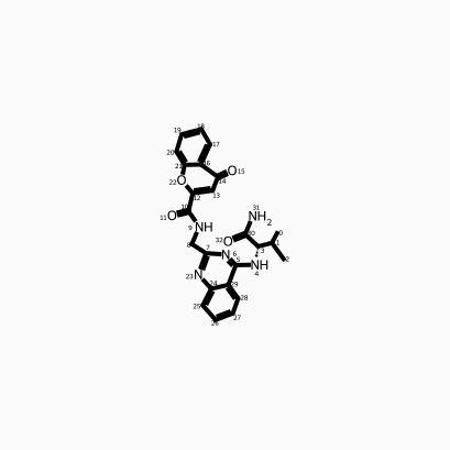 CC(C)[C@H](Nc1nc(CNC(=O)c2cc(=O)c3ccccc3o2)nc2ccccc12)C(N)=O